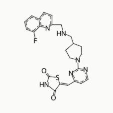 O=C1NC(=O)C(=Cc2ccnc(N3CCC(CNCc4ccc5cccc(F)c5n4)CC3)n2)S1